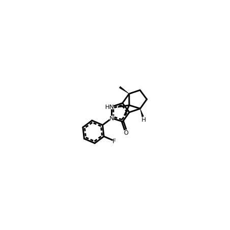 CC1(C)[C@@H]2CC[C@@]1(C)c1[nH]n(-c3ccccc3F)c(=O)c12